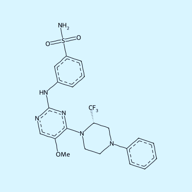 COc1cnc(Nc2cccc(S(N)(=O)=O)c2)nc1N1CCN(c2ccccc2)C[C@H]1C(F)(F)F